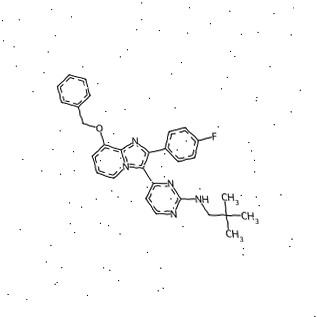 CC(C)(C)CNc1nccc(-c2c(-c3ccc(F)cc3)nc3c(OCc4ccccc4)cccn23)n1